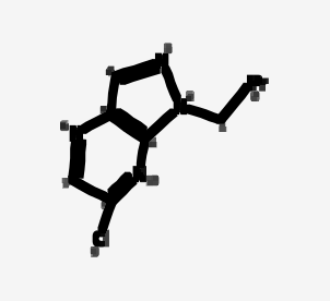 CC(C)Cn1ncc2ncc(Cl)nc21